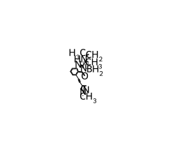 Bn1c([C@H](C)NC(=C)C)nc2cccc(C#Cc3cnn(C)c3)c2c1=O